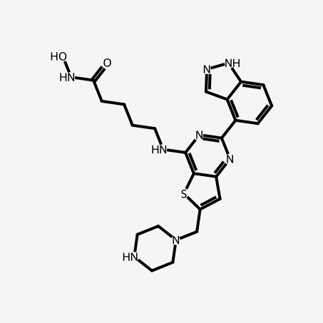 O=C(CCCCNc1nc(-c2cccc3[nH]ncc23)nc2cc(CN3CCNCC3)sc12)NO